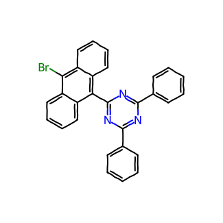 Brc1c2ccccc2c(-c2nc(-c3ccccc3)nc(-c3ccccc3)n2)c2ccccc12